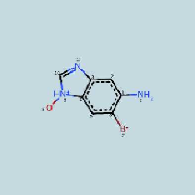 Nc1cc2c(cc1Br)[NH+]([O-])C=N2